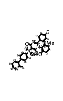 COc1cccc(OC)c1-n1c(-c2ccc(F)cc2)nc(=O)c(S(=O)(=O)c2ccc(-c3cccnc3C)cc2)c1O